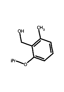 Cc1cccc(OC(C)C)c1CO